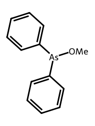 CO[As](c1ccccc1)c1ccccc1